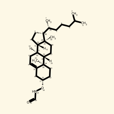 CC(C)CCC[C@@H](C)[C@H]1CC[C@H]2[C@@H]3CC=C4C[C@@H](ONC=O)CC[C@]4(C)[C@H]3CC[C@]12C